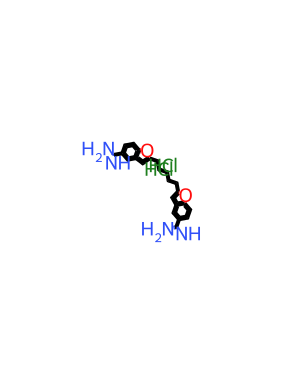 Cl.Cl.N=C(N)c1ccc2oc(CCCCCc3cc4cc(C(=N)N)ccc4o3)cc2c1